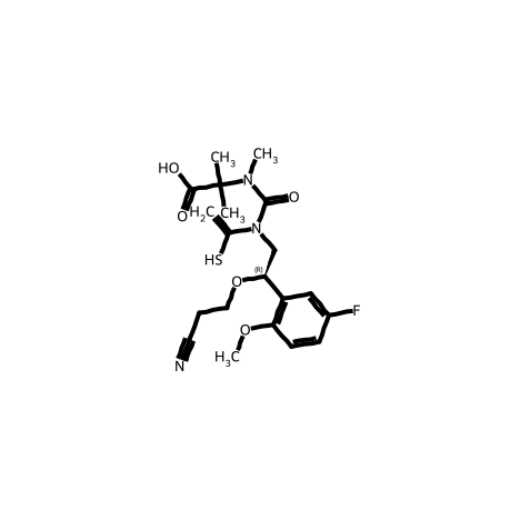 C=C(S)N(C[C@H](OCCC#N)c1cc(F)ccc1OC)C(=O)N(C)C(C)(C)C(=O)O